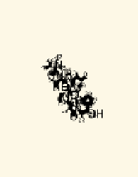 CC[C@H](C)[C@@H]([C@@H](CC(=O)N1CCC[C@H]1[C@H](OC)[C@@H](C)C(=O)N[C@H](C)[C@@H](O)c1ccccc1)OC)N(C)C(=O)[C@H](NC(=O)[C@H](C(C)C)N(C)C)[C@H](C)N